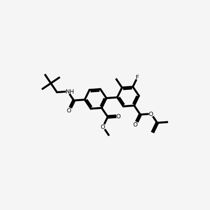 C=C(C)OC(=O)c1cc(F)c(C)c(-c2ccc(C(=O)NCC(C)(C)C)cc2C(=O)OC)c1